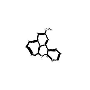 COc1cc2c3c(cccc3c1)Oc1ccccc1-2